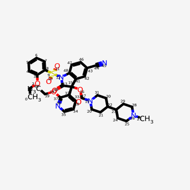 CCOc1ccccc1S(=O)(=O)N1C(=O)C(OC(=O)N2CCC(C3CCN(C)CC3)CC2)(c2cccnc2OCC)c2cc(C#N)ccc21